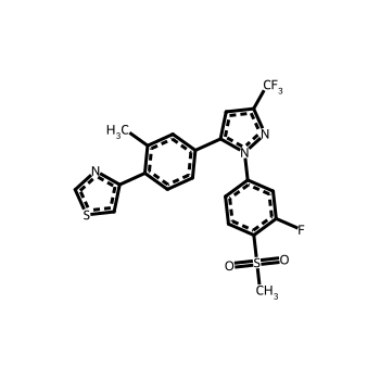 Cc1cc(-c2cc(C(F)(F)F)nn2-c2ccc(S(C)(=O)=O)c(F)c2)ccc1-c1cscn1